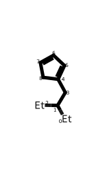 CCC(CC)CC1=CC=CC1